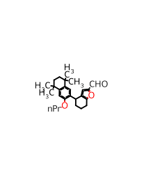 CCCOc1cc2c(cc1C1CCCc3oc(C=O)cc31)C(C)(C)CCC2(C)C